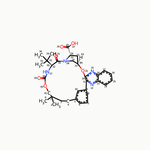 CC1(C)CCc2cccc(c2)-c2nc3ccccc3nc2O[C@@H]2C[C@@H](C(=O)O)N(C2)C(=O)[C@H](C(C)(C)C)NC(=O)OC1